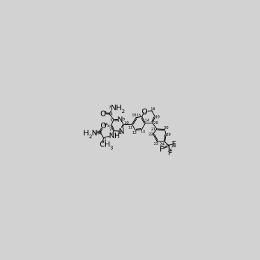 CC(Nc1cc(C(N)=O)nc(-c2ccc3c(c2)OCC=C3c2ccc(C(F)(F)F)cc2)n1)C(N)=O